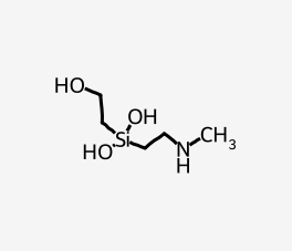 CNCC[Si](O)(O)CCO